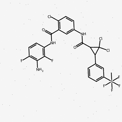 CS(F)(F)(F)(F)c1cccc(C2C(C(=O)Nc3ccc(Cl)c(C(=O)Nc4ccc(F)c(N)c4F)c3)C2(Cl)Cl)c1